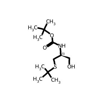 CC(C)(C)OC(=O)N[C@@H](CO)CSC(C)(C)C